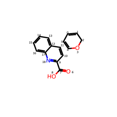 C1=CCOC=C1.O=C(O)c1ccc2ccccc2n1